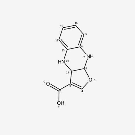 O=C(O)C1=COC2Nc3ccccc3NC12